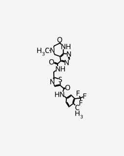 Cc1ccc(NC(=O)c2cnc(CNC(=O)c3ncnc4c3CN(C)CC(=O)N4)s2)cc1C(F)(F)F